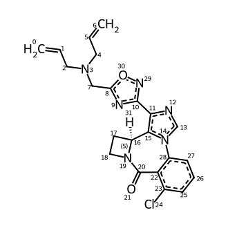 C=CCN(CC=C)Cc1nc(-c2ncn3c2[C@@H]2CCN2C(=O)c2c(Cl)cccc2-3)no1